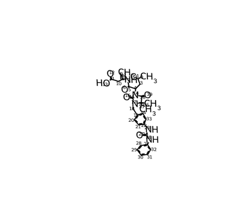 CC(C)CC(C(=O)NC(C)CC(=O)O)N1C(=O)N(Cc2ccc(NC(=O)Nc3ccccc3)cc2)C(C)(C)C1=O